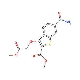 COC(=O)COc1c(C(=O)OC)sc2cc(C(N)=O)ccc12